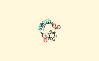 O=C1OCC(F)(F)C(F)(F)C(F)(F)C(F)(F)COC(=O)c2ccc1cc2